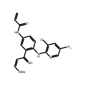 C=CC(=O)Nc1ccc(Nc2ncc(C(F)(F)F)cc2Cl)c(C(=N)/C=C\NC)c1